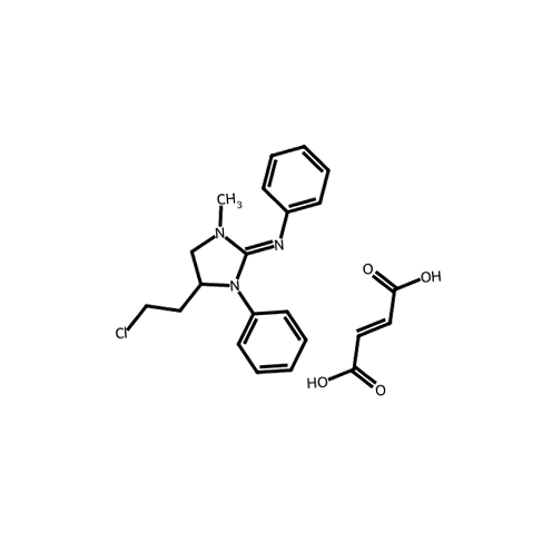 CN1CC(CCCl)N(c2ccccc2)C1=Nc1ccccc1.O=C(O)/C=C/C(=O)O